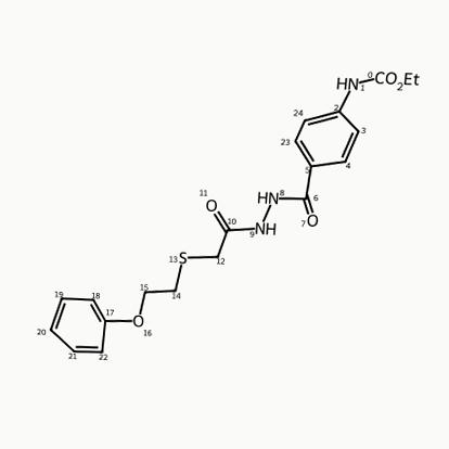 CCOC(=O)Nc1ccc(C(=O)NNC(=O)CSCCOc2ccccc2)cc1